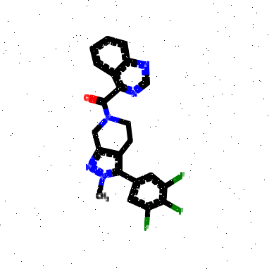 Cn1nc2c(c1-c1cc(F)c(F)c(F)c1)CCN(C(=O)c1ncnc3ccccc13)C2